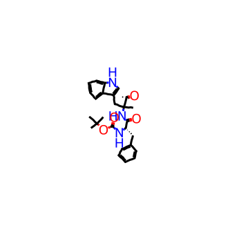 CC([C]=O)(Cc1c[nH]c2ccccc12)NC(=O)[C@H](Cc1ccccc1)NC(=O)OC(C)(C)C